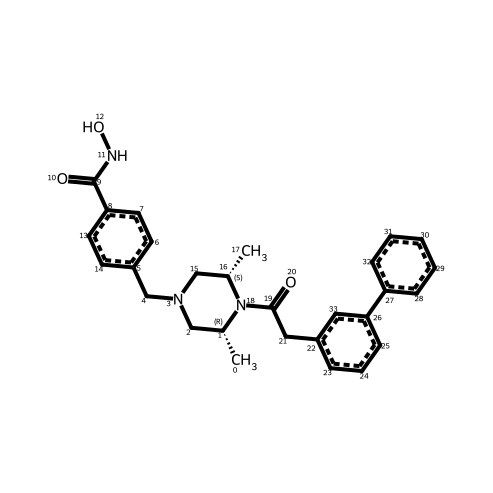 C[C@@H]1CN(Cc2ccc(C(=O)NO)cc2)C[C@H](C)N1C(=O)Cc1cccc(-c2ccccc2)c1